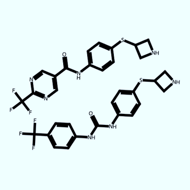 O=C(Nc1ccc(SC2CNC2)cc1)Nc1ccc(C(F)(F)F)cc1.O=C(Nc1ccc(SC2CNC2)cc1)c1cnc(C(F)(F)F)nc1